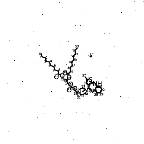 CCCCCCCCCC(=O)OC[C@@H](COC(=O)OC[N+]1(C)CCN(C2=Nc3ccccc3Nc3sc(C)cc32)CC1)OC(=O)CCCCCCCCC.[I-]